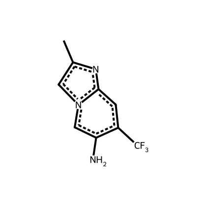 Cc1cn2cc(N)c(C(F)(F)F)cc2n1